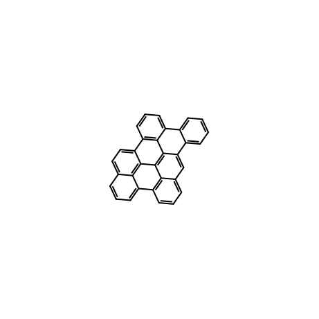 c1ccc2c(c1)c1cccc3c4ccc5cccc6c7cccc8cc2c(c13)c(c87)c4c56